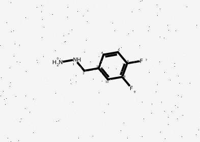 NNCc1ccc(F)c(F)c1